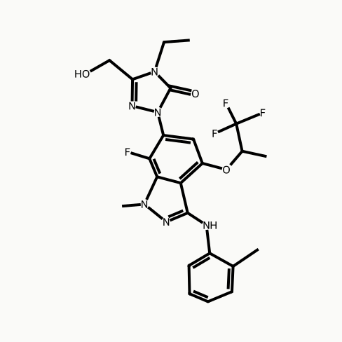 CCn1c(CO)nn(-c2cc(OC(C)C(F)(F)F)c3c(Nc4ccccc4C)nn(C)c3c2F)c1=O